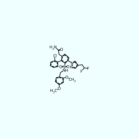 COc1ccc(CNS(=O)(=O)c2c(-n3cc(CC(F)F)cn3)ccc(CC(N)=O)c2-c2ccccc2Cl)c(OC)c1